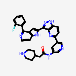 O=C(CC1CCNCC1)Nc1cncc(-c2ccc3[nH]nc(-c4cc5c(-c6ccccc6F)nccc5[nH]4)c3n2)c1